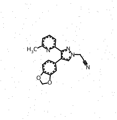 Cc1cccc(-c2nn(CC#N)cc2-c2ccc3c(c2)OCO3)n1